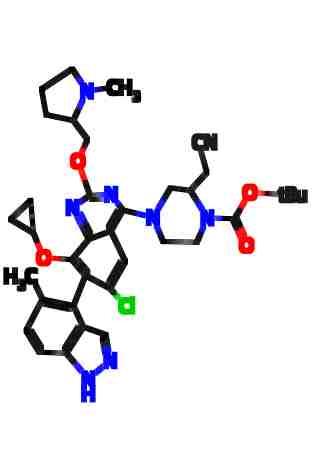 Cc1ccc2[nH]ncc2c1-c1c(Cl)cc2c(N3CCN(C(=O)OC(C)(C)C)C(CC#N)C3)nc(OCC3CCCN3C)nc2c1OC1CC1